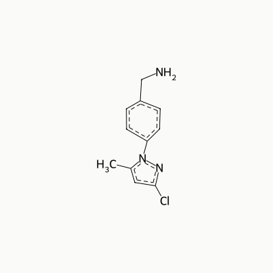 Cc1cc(Cl)nn1-c1ccc(CN)cc1